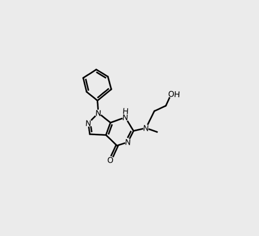 CN(CCO)c1nc(=O)c2cnn(-c3ccccc3)c2[nH]1